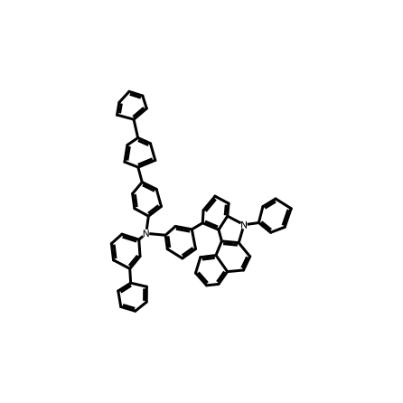 c1ccc(-c2ccc(-c3ccc(N(c4cccc(-c5ccccc5)c4)c4cccc(-c5cccc6c5c5c7ccccc7ccc5n6-c5ccccc5)c4)cc3)cc2)cc1